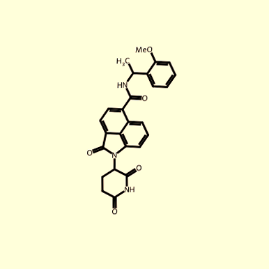 COc1ccccc1C(C)NC(=O)c1ccc2c3c(cccc13)N(C1CCC(=O)NC1=O)C2=O